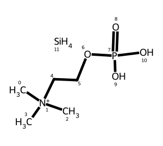 C[N+](C)(C)CCOP(=O)(O)O.[SiH4]